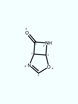 O=C1NC2OC=NC12